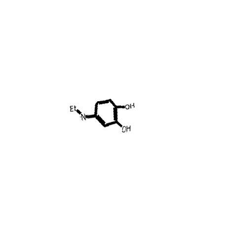 CC[N]c1ccc(O)c(O)c1